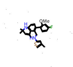 COc1cc(F)ccc1-c1ccc2c(c1CNc1cc(C)cs1)C(C)=CC(C)(C)N2